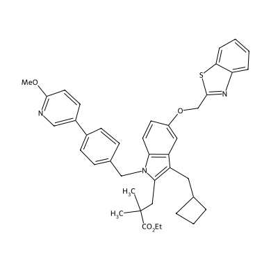 CCOC(=O)C(C)(C)Cc1c(CC2CCC2)c2cc(OCc3nc4ccccc4s3)ccc2n1Cc1ccc(-c2ccc(OC)nc2)cc1